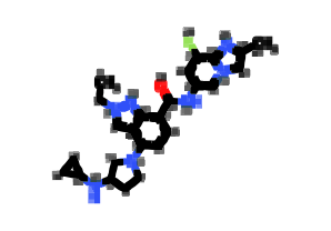 CCn1cc2c(N3CCC(NC4CC4)C3)ccc(C(=O)Nc3cc(F)c4nc(C)cn4c3)c2n1